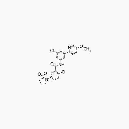 COc1ccc(-c2cc(Cl)cc(NC(=O)c3cc(N4CCCS4(=O)=O)ccc3Cl)c2)nc1